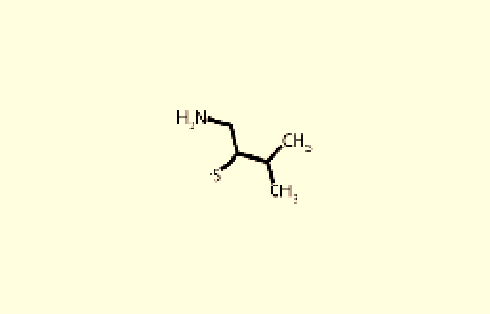 CC(C)C([S])CN